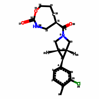 Cc1ccc([C@H]2[C@@H]3CN(C(=O)[C@@H]4CCCOC(=O)NC4)C[C@@H]32)cc1Cl